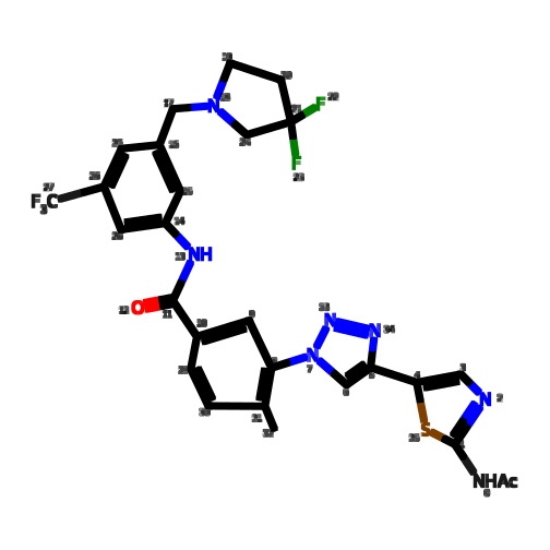 CC(=O)Nc1ncc(-c2cn(-c3cc(C(=O)Nc4cc(CN5CCC(F)(F)C5)cc(C(F)(F)F)c4)ccc3C)nn2)s1